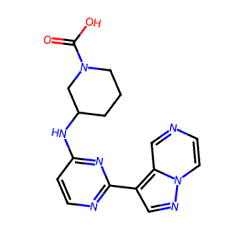 O=C(O)N1CCCC(Nc2ccnc(-c3cnn4ccncc34)n2)C1